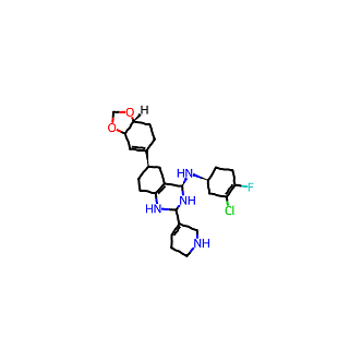 FC1=C(Cl)C[C@@H](N[C@H]2NC(C3=CCCNC3)NC3=C2C[C@H](C2=CC4OCO[C@@H]4CC2)CC3)CC1